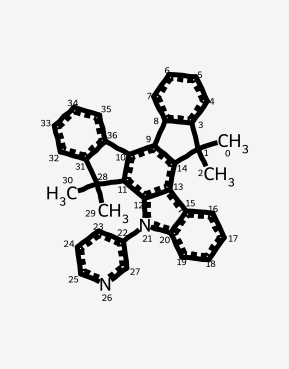 CC1(C)c2ccccc2-c2c3c(c4c(c21)c1ccccc1n4-c1cccnc1)C(C)(C)c1ccccc1-3